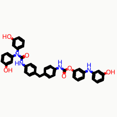 O=C(Nc1ccc(Cc2ccc(NC(=O)N(c3cccc(O)c3)c3cccc(O)c3)cc2)cc1)Oc1cccc(Nc2cccc(O)c2)c1